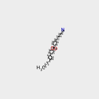 CCCCCCc1ccc([C@H]2CC[C@H](OC(=O)[C@H]3CC[C@H](CCC=CC=CC#N)CC3)CC2)cc1